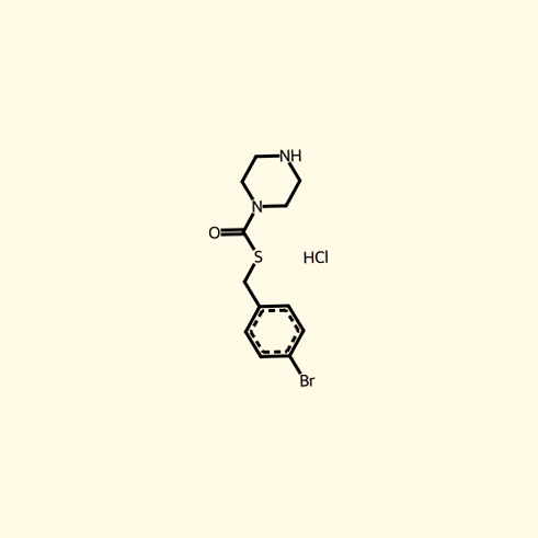 Cl.O=C(SCc1ccc(Br)cc1)N1CCNCC1